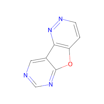 c1cc2oc3ncncc3c2nn1